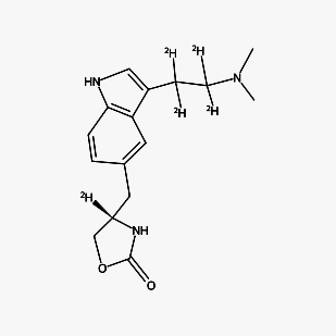 [2H]C([2H])(c1c[nH]c2ccc(C[C@@]3([2H])COC(=O)N3)cc12)C([2H])([2H])N(C)C